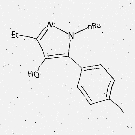 CCCCn1nc(CC)c(O)c1-c1ccc(C)cc1